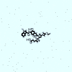 CCOC1CN([C@H]2C[C@@H](c3ncc(CCC(=O)O)s3)N(C(=O)Cc3cc(Cl)c(NC(=O)c4cn(C)c5ccccc45)cc3Cl)C2)C1